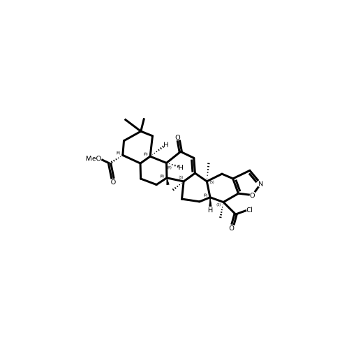 COC(=O)[C@@H]1CC(C)(C)C[C@@H]2C1CC[C@]1(C)[C@@H]2C(=O)C=C2[C@@]3(C)Cc4cnoc4[C@@](C)(C(=O)Cl)[C@@H]3CC[C@]21C